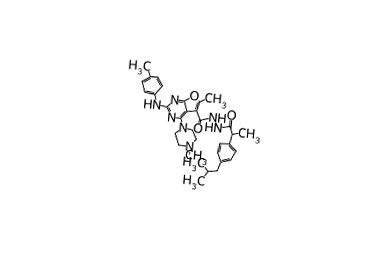 Cc1ccc(Nc2nc(N3CCN(C)CC3)c3c(C(=O)NNC(=O)C(C)c4ccc(CC(C)C)cc4)c(C)oc3n2)cc1